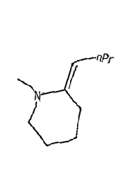 CCCC=C1CCCCN1C